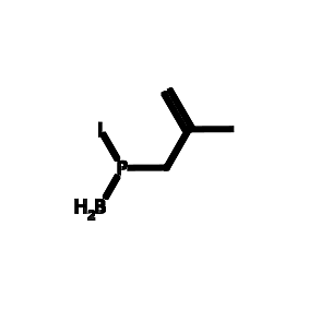 BP(I)CC(=C)C